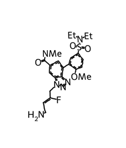 CCN(CC)S(=O)(=O)c1ccc(OC)c(-c2cc(C(=O)NC)cc3c2nnn3C/C(F)=C/CN)c1